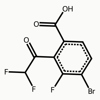 O=C(O)c1ccc(Br)c(F)c1C(=O)C(F)F